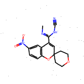 CN=C(NC#N)C1=CC2(CCOCC2)Oc2ccc([N+](=O)[O-])cc21